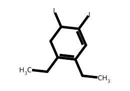 CCC1=C(CC)CC(I)C(I)=C1